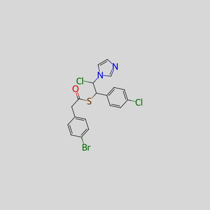 O=C(Cc1ccc(Br)cc1)SC(c1ccc(Cl)cc1)C(Cl)n1ccnc1